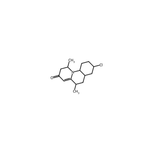 CC1CC2CC(Cl)CCC2N2C1=CC(=O)CC2C